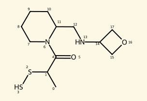 CC(SS)C(=O)N1CCCCC1CNC1COC1